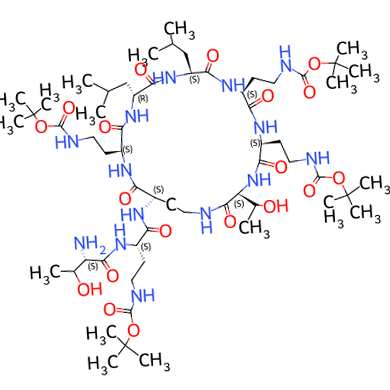 CC(C)C[C@@H]1NC(=O)[C@@H](CC(C)C)NC(=O)[C@H](CCNC(=O)OC(C)(C)C)NC(=O)[C@@H](NC(=O)[C@H](CCNC(=O)OC(C)(C)C)NC(=O)[C@@H](N)C(C)O)CCNC(=O)[C@H](C(C)O)NC(=O)[C@H](CCNC(=O)OC(C)(C)C)NC(=O)[C@H](CCNC(=O)OC(C)(C)C)NC1=O